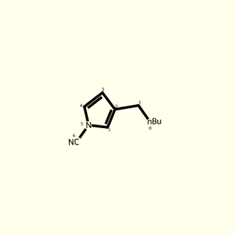 CCCCCc1ccn(C#N)c1